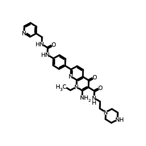 CCn1c(N)c(C(=O)NCCN2CCNCC2)c(=O)c2ccc(-c3ccc(NC(=O)NCc4cccnc4)cc3)nc21